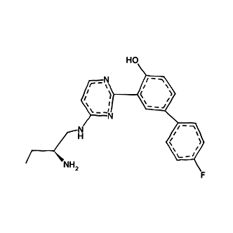 CC[C@H](N)CNc1ccnc(-c2cc(-c3ccc(F)cc3)ccc2O)n1